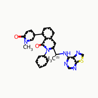 C[C@H](Nc1ncnc2scnc12)c1cc2cccc(-c3ccc(=O)n(C)c3)c2c(=O)n1-c1ccccc1